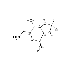 CO[C@H]1OC(CN)[C@H](O)C2OC(C)(C)OC21